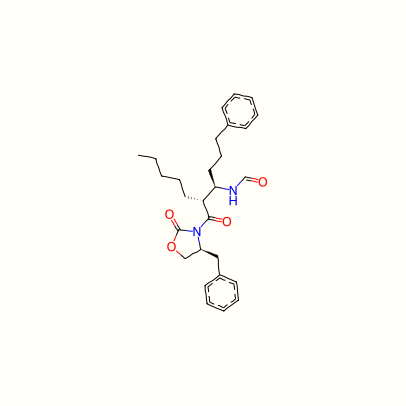 CCCCC[C@@H](C(=O)N1C(=O)OC[C@@H]1Cc1ccccc1)[C@@H](CCCc1ccccc1)NC=O